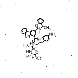 CCNC(=O)[C@@H](NC(=O)[C@H](C)NC[C@H](Cc1ccc(N)cc1)NC(=O)c1cc(C(=O)N[C@H](C)c2ccccc2)cc(-c2ccccc2C#N)c1)C(C)C